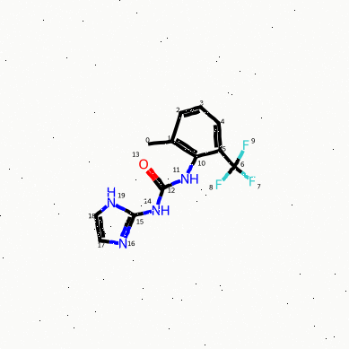 Cc1cccc(C(F)(F)F)c1NC(=O)Nc1ncc[nH]1